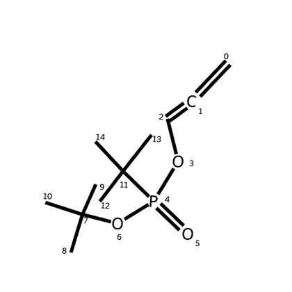 C=C=COP(=O)(OC(C)(C)C)C(C)(C)C